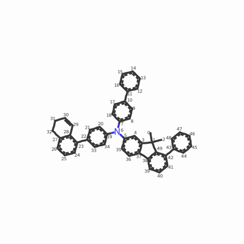 CC1(C)c2cc(N(c3ccc(-c4ccccc4)cc3)c3ccc(-c4cccc5c4C=CCC5)cc3)ccc2-c2cccc(-c3ccccc3)c21